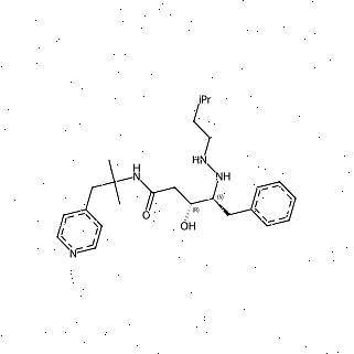 CC(C)CCNN[C@@H](Cc1ccccc1)[C@H](O)CC(=O)NC(C)(C)Cc1ccncc1